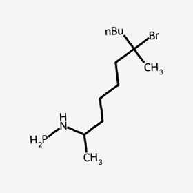 CCCCC(C)(Br)CCCCC(C)NP